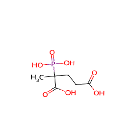 CC(CCC(=O)O)(C(=O)O)P(=O)(O)O